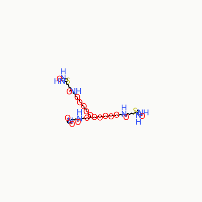 O=C(CCCCC1SCC2NC(=O)NC21)NCCCOCCOCCOCCOCCOCC(COCCCNC(=O)CCCN1C(=O)C=CC1=O)OCCOCCOCCOCCOCCCNC(=O)CCCCC1SCC2NC(=O)NC21